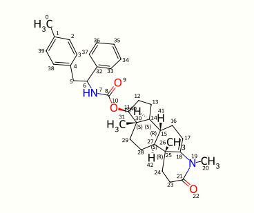 Cc1ccc(CC(NC(=O)O[C@H]2CC[C@H]3[C@@H]4CC=C5N(C)C(=O)CC[C@]5(C)[C@H]4CC[C@]23C)c2ccccc2)cc1